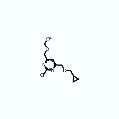 FC(F)(F)COCc1cc(COCC2CC2)nc(Cl)n1